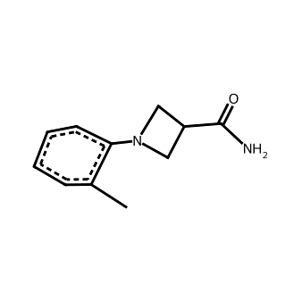 Cc1ccccc1N1CC(C(N)=O)C1